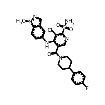 Cn1ncc2cc(Nc3c(C(=O)N4CCC(c5ccc(F)cc5)CC4)cnc(S(N)(=O)=O)c3Cl)ccc21